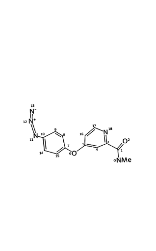 CNC(=O)c1cc(Oc2ccc(N=[N+]=[N-])cc2)ccn1